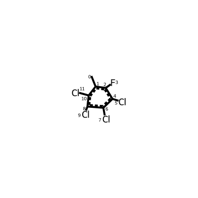 Cc1c(F)c(Cl)c(Cl)c(Cl)c1Cl